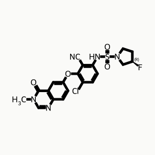 Cn1cnc2ccc(Oc3c(Cl)ccc(NS(=O)(=O)N4CC[C@@H](F)C4)c3C#N)cc2c1=O